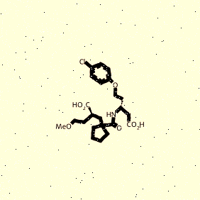 COCC[C@H](CC1(C(=O)N[C@H](CCOc2ccc(Cl)cc2)CC(=O)O)CCCC1)C(=O)O